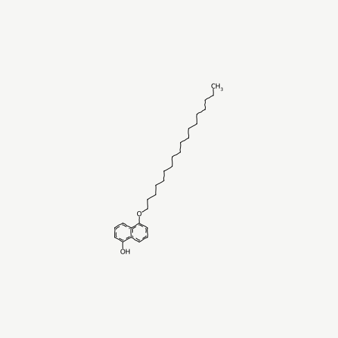 CCCCCCCCCCCCCCCCCCOc1cccc2c(O)cccc12